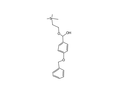 C[Si](C)(C)CCOC(O)c1ccc(OCc2ccccc2)cc1